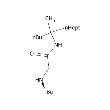 CCCCCCCC(C)(CCCC)NC(=O)CN[C@H](C)CC